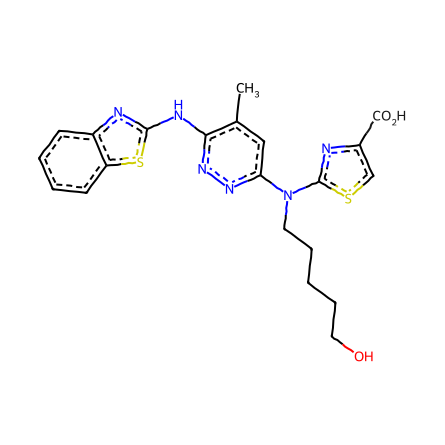 Cc1cc(N(CCCCCO)c2nc(C(=O)O)cs2)nnc1Nc1nc2ccccc2s1